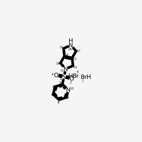 Br.Br.O=S(=O)(c1ccccn1)N1CC2=C(CNC2)C1